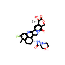 CC[C@]1(O)C(=O)OCc2c1cc1n(c2=O)Cc2c-1nc1cc(F)c(C)c3c1c2[C@H](NC(=O)[C@H]1COCCN1)CC3